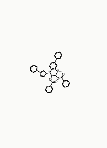 C[C@H]1c2cc(-c3ccccc3)ccc2[C@H](C2C=CC(c3ccccc3)=C2)C(OC(=O)c2ccccc2)C1OC(=O)c1ccccc1